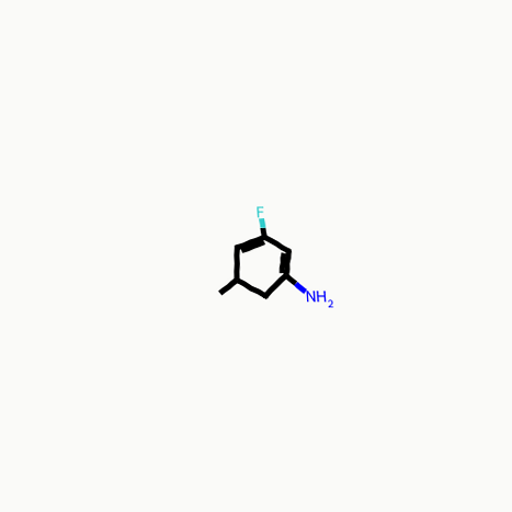 CC1C=C(F)C=C(N)C1